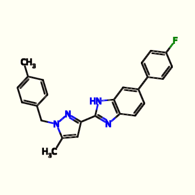 Cc1ccc(Cn2nc(-c3nc4ccc(-c5ccc(F)cc5)cc4[nH]3)cc2C)cc1